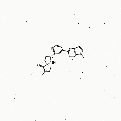 CN1CC[C@@]2(CC[C@H](c3cc(-c4ccc5c(ccn5C)c4)ccn3)N2)C1=O